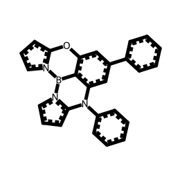 c1ccc(-c2cc3c4c(c2)N(c2ccccc2)c2cccn2B4n2cccc2O3)cc1